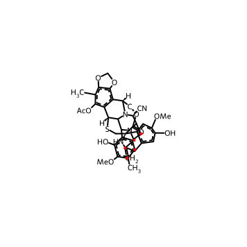 C=CCN1C2c3c(cc(C)c(OC)c3O)CC1[C@H](C#N)N1C2[C@@H]2SC[C@]3(NCCc4cc(O)c(OC)cc43)C(=O)OC[C@H]1c1c3c(c(C)c(OC(C)=O)c12)OCO3